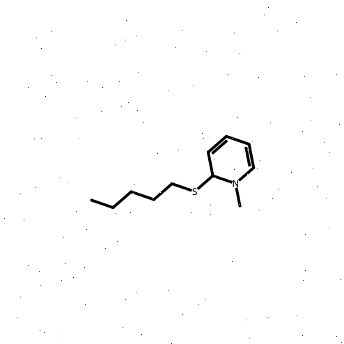 CCCCCSC1C=CC=CN1C